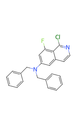 Fc1cc(N(Cc2ccccc2)Cc2ccccc2)cc2ccnc(Cl)c12